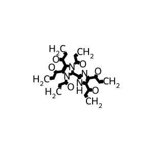 C=CC(=O)C1=C(C(=O)C=C)N(C(=O)C=C)C(c2nc(C(=O)C=C)c(C(=O)C=C)[nH]2)N1C(=O)C=C